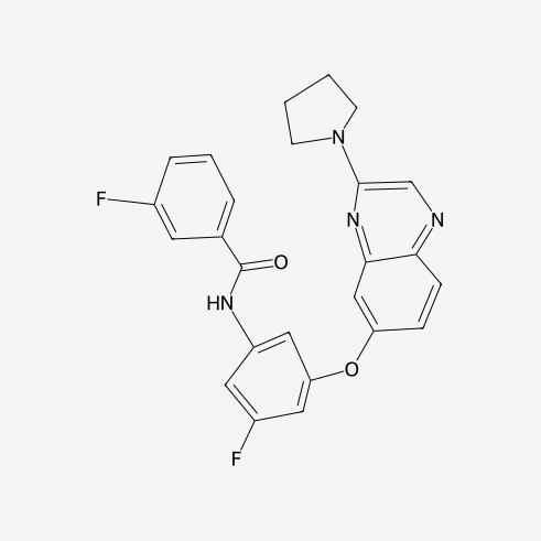 O=C(Nc1cc(F)cc(Oc2ccc3ncc(N4CCCC4)nc3c2)c1)c1cccc(F)c1